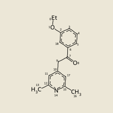 CCOc1cccc(C(=O)Cc2cc(C)nc(C)c2)c1